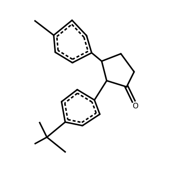 Cc1ccc(C2CCC(=O)C2c2ccc(C(C)(C)C)cc2)cc1